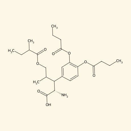 CCCC(=O)Oc1ccc(C(C(C)COC(=O)C(C)CC)[C@H](N)C(=O)O)cc1OC(=O)CCC